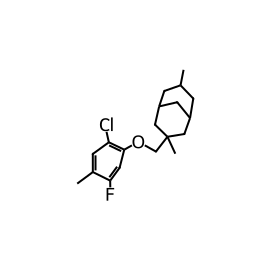 Cc1cc(Cl)c(OCC2(C)CC3CC(C)CC(C3)C2)cc1F